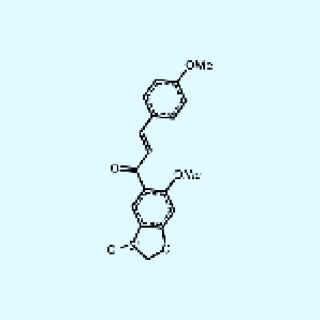 COc1ccc(C=CC(=O)c2cc3c(cc2OC)OC[S+]3[O-])cc1